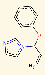 C=CC(Oc1ccccc1)n1ccnc1